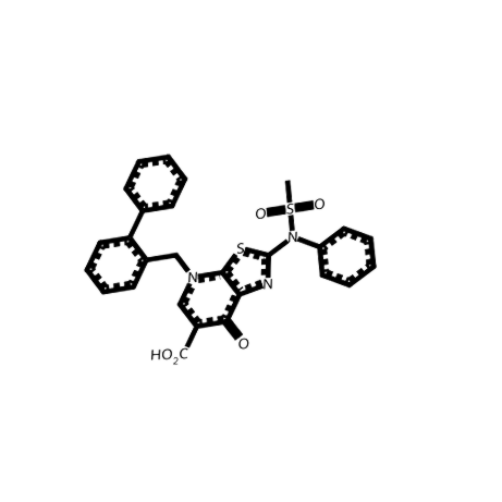 CS(=O)(=O)N(c1ccccc1)c1nc2c(=O)c(C(=O)O)cn(Cc3ccccc3-c3ccccc3)c2s1